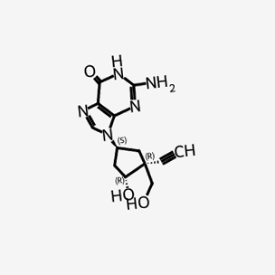 C#C[C@@]1(CO)C[C@H](n2cnc3c(=O)[nH]c(N)nc32)C[C@H]1O